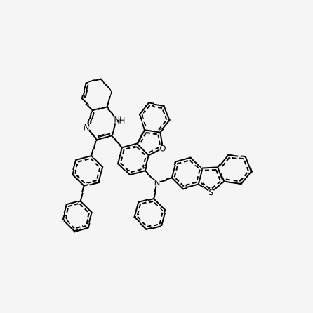 C1=CC2=NC(c3ccc(-c4ccccc4)cc3)=C(c3ccc(N(c4ccccc4)c4ccc5c(c4)sc4ccccc45)c4oc5ccccc5c34)NC2CC1